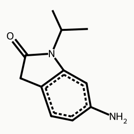 CC(C)N1C(=O)Cc2ccc(N)cc21